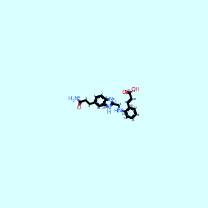 NC(=O)CCc1ccc2nc(CNc3ccccc3C=CC(=O)O)[nH]c2c1